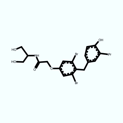 CC(C)c1cc(Cc2c(Br)cc(OCC(=O)NC(CO)CO)cc2Br)ccc1O